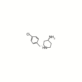 N[C@H]1CCN[C@H](Cc2ccc(Cl)cc2)C1